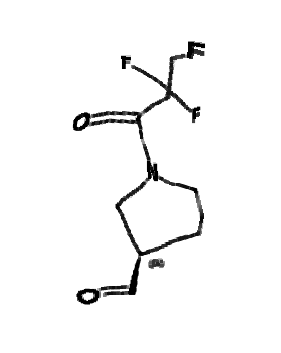 O=C[C@@H]1CCN(C(=O)C(F)(F)F)C1